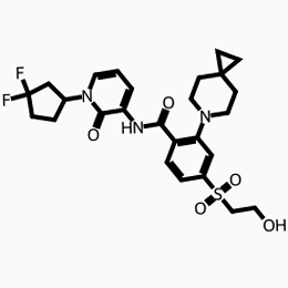 O=C(Nc1cccn(C2CCC(F)(F)C2)c1=O)c1ccc(S(=O)(=O)CCO)cc1N1CCC2(CC1)CC2